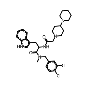 CN(Cc1ccc(Cl)c(Cl)c1)C(=O)C(Cc1c[nH]c2ccccc12)NC(=O)CN1CCC(N2CCCCC2)CC1